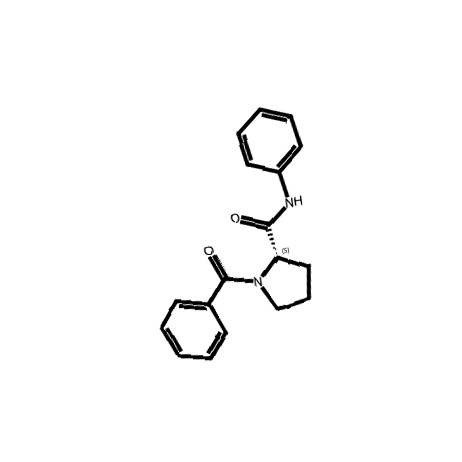 O=C(Nc1ccccc1)[C@@H]1CCCN1C(=O)c1ccccc1